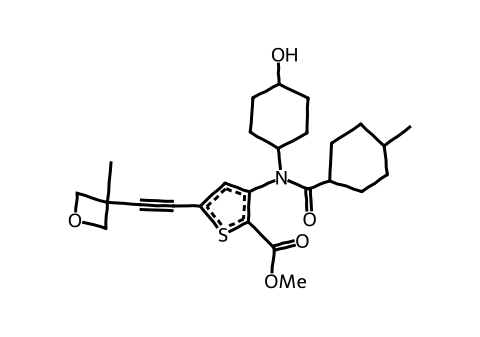 COC(=O)c1sc(C#CC2(C)COC2)cc1N(C(=O)C1CCC(C)CC1)C1CCC(O)CC1